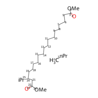 CCCC.COC(=O)CCCCCCCCCCCCCCCC(CC(=O)OC)C(C)C